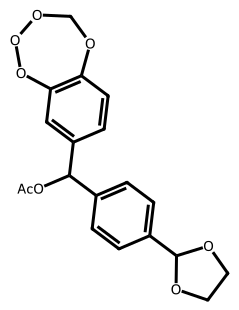 CC(=O)OC(c1ccc(C2OCCO2)cc1)c1ccc2c(c1)OOOCO2